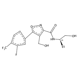 CC[C@H](CO)NC(=O)c1noc(-c2ccc(C(F)(F)F)c(F)c2)c1CO